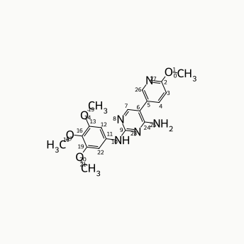 COc1ccc(-c2cnc(Nc3cc(OC)c(OC)c(OC)c3)nc2N)cn1